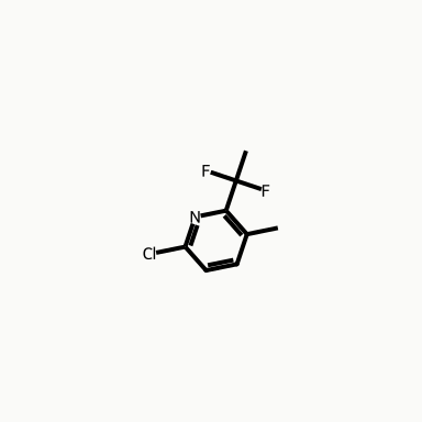 Cc1ccc(Cl)nc1C(C)(F)F